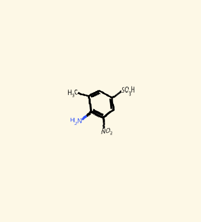 Cc1cc(S(=O)(=O)O)cc([N+](=O)[O-])c1N